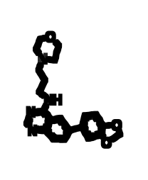 c1nc(NCCCN2CCOCC2)c2cc(-c3ccc4c(c3)OCO4)ccc2n1